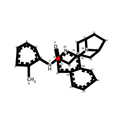 Cc1ccccc1NC(=O)CN1CC2CCC(C1)N2c1nccc2ccccc12